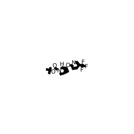 CC(C)(C)OC(=O)N1CC2CC(Oc3ccc(C(F)(F)F)cn3)[C@H]1C2